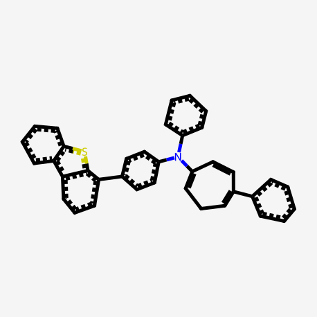 C1=CC(N(c2ccccc2)c2ccc(-c3cccc4c3sc3ccccc34)cc2)=CCC=C1c1ccccc1